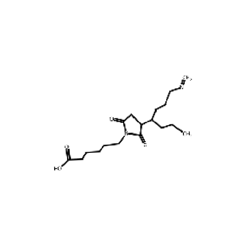 C=NCCCC(CCC)C1CC(=O)N(CCCCCC(=O)O)C1=O